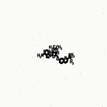 CN(C)c1ccc2ccc(OC[C@H]3O[C@@H](n4ccc5c(N)ncnc54)[C@@H]4OC(C)(C)O[C@@H]43)cc2n1